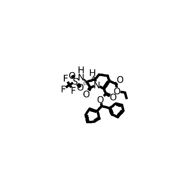 CCOC(=O)C1=C(C(=O)OC(c2ccccc2)c2ccccc2)N2C(=O)[C@@H](NS(=O)(=O)C(F)(F)F)[C@H]2CC1